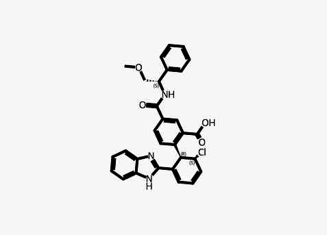 COC[C@@H](NC(=O)c1ccc([C@@H]2C(c3nc4ccccc4[nH]3)=CC=C[C@@H]2Cl)c(C(=O)O)c1)c1ccccc1